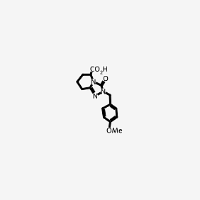 COc1ccc(Cn2nc3n(c2=O)C(C(=O)O)CCC3)cc1